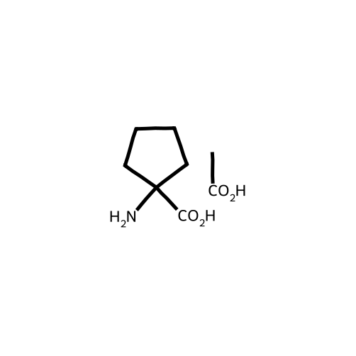 CC(=O)O.NC1(C(=O)O)CCCC1